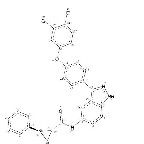 O=C(Nc1ccc2[nH]nc(-c3ccc(Oc4ccc(Cl)c(Cl)c4)cc3)c2c1)[C@@H]1C[C@H]1c1ccccc1